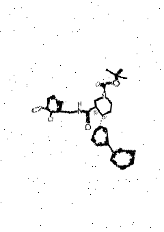 CC(C)(C)OC(=O)N1CC[C@H](c2cccc(-c3ccccc3)c2)[C@@H](C(=O)NCc2cccc(Cl)c2Cl)C1